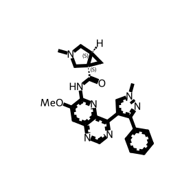 COc1cc2ncnc(-c3cn(C)nc3-c3ccccc3)c2nc1NC(=O)[C@@]12C[C@@H]1CN(C)C2